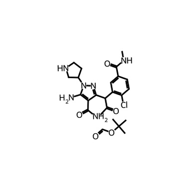 CC(C)(C)OC=O.CNC(=O)c1ccc(Cl)c(C(C(C)=O)c2nn(C3CCNC3)c(N)c2C(N)=O)c1